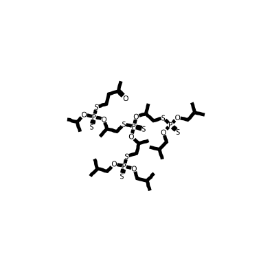 CC(=O)CCSP(=S)(OC(C)C)OC(C)CSP(=S)(OC(C)CSP(=S)(OCC(C)C)OCC(C)C)OC(C)CSP(=S)(OCC(C)C)OCC(C)C